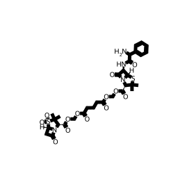 CC1(C)S[C@@H]2[C@H](NC(=O)C(N)c3ccccc3)C(=O)N2[C@H]1C(=O)OCOC(=O)CCCC(=O)OCOC(=O)[C@@H]1N2C(=O)C[C@H]2S(=O)(=O)C1(C)C